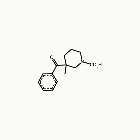 CC1(C(=O)c2ccccc2)CCCN(C(=O)O)C1